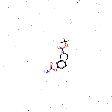 CC(C)(C)OC(=O)N1CCc2ccc(OC(N)=O)cc2C1